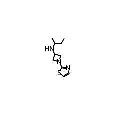 CCC(C)NC1CN(c2nccs2)C1